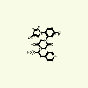 O=C(O)C(Cc1ccncc1)N1CC(=O)N(c2cc(Cl)ccc2-n2cc(Cl)nn2)CC1=O